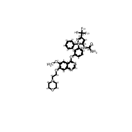 COc1cc2c(Oc3cccc([N+]4(c5ccccc5)N=C(C(F)(F)F)C=C4NC(N)=O)c3)ncnc2cc1OCCN1CCOCC1